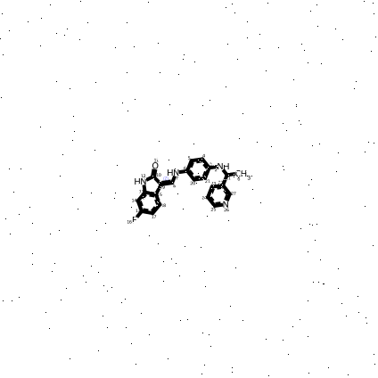 CC(Nc1ccc(N/C=C2\C(=O)Nc3cc(F)ccc32)cc1)c1cccnc1